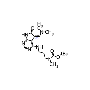 CN(C)/C=C1\C(=O)Nc2ncnc(NCCCN(C)C(=O)OC(C)(C)C)c21